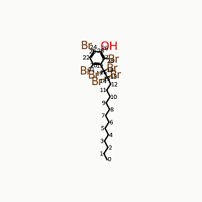 CCCCCCCCCCCCCC(Br)(Br)C(Br)(Br)c1c(Br)cc(Br)c(O)c1Br